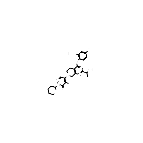 CC(O)c1nc2c(c(Oc3ccc(F)cc3C(F)(F)F)n1)CCN(c1cnn(C3CCCCO3)c(=O)c1Cl)C2